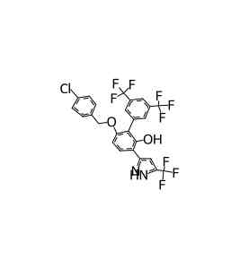 Oc1c(-c2cc(C(F)(F)F)[nH]n2)ccc(OCc2ccc(Cl)cc2)c1-c1cc(C(F)(F)F)cc(C(F)(F)F)c1